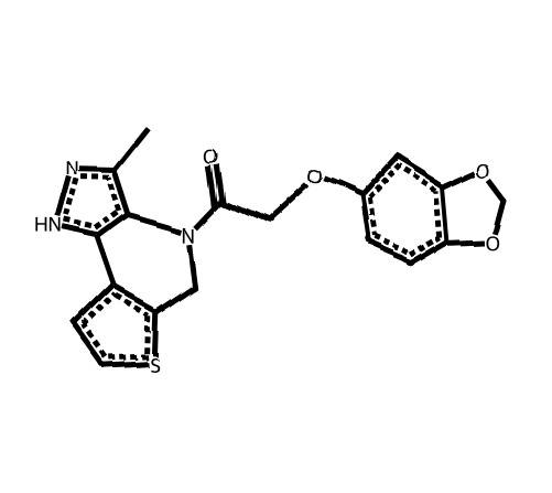 Cc1n[nH]c2c1N(C(=O)COc1ccc3c(c1)OCO3)Cc1sccc1-2